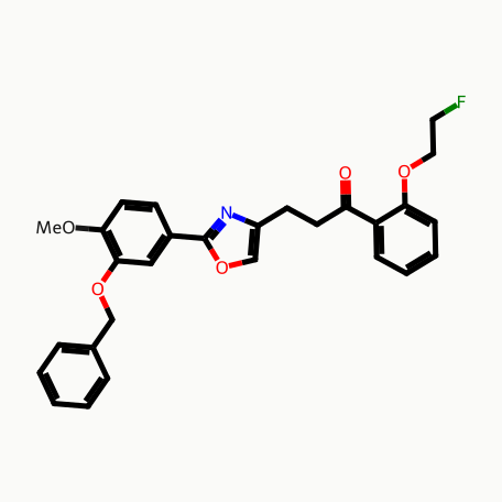 COc1ccc(-c2nc(CCC(=O)c3ccccc3OCCF)co2)cc1OCc1ccccc1